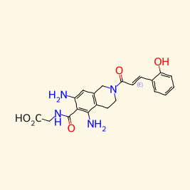 Nc1cc2c(c(N)c1C(=O)NCC(=O)O)CCN(C(=O)/C=C/c1ccccc1O)C2